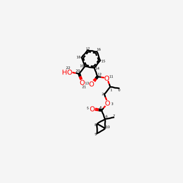 CC(COC(=O)C1(C)C2CC21)OC(=O)c1ccccc1C(=O)O